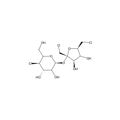 OCC1O[C@@H](O[C@]2(CCl)O[C@@H](CCl)C(O)[C@H]2O)C(O)[C@H](O)[C@H]1Cl